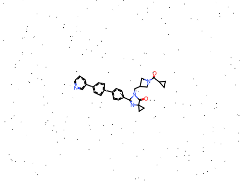 O=C(C1CC1)N1CC(CN2C(=O)C3(CC3)N=C2c2ccc(-c3ccc(-c4cccnc4)cc3)cc2)C1